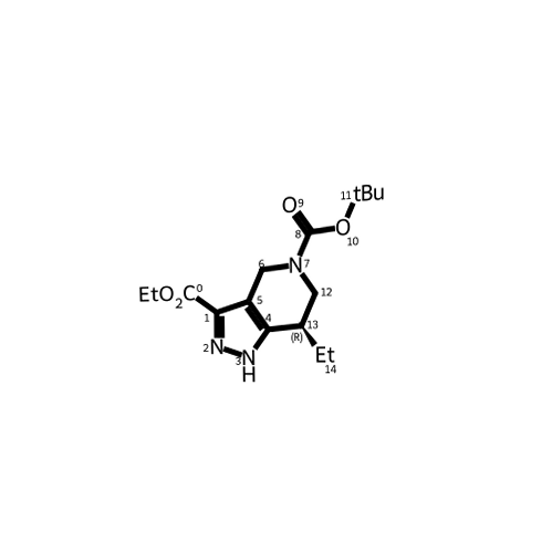 CCOC(=O)c1n[nH]c2c1CN(C(=O)OC(C)(C)C)C[C@H]2CC